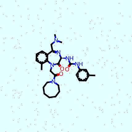 Cc1cccc(NC(=O)N[C@@H]2N=C(CN(C)C)c3cccc(C)c3N(CC(=O)N3CCCCCCC3)C2=O)c1